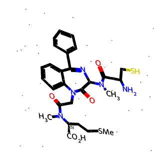 CSCC[C@@H](C(=O)O)N(C)C(=O)CN1C(=O)C(N(C)C(=O)C(N)CS)N=C(c2ccccc2)c2ccccc21